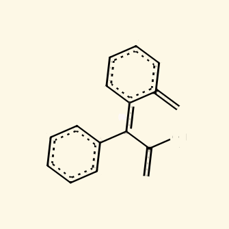 C=C(O)/C(c1ccccc1)=c1/ccccc1=C